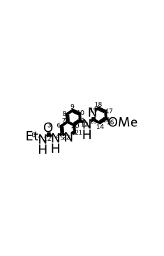 CCNC(=O)Nc1cc2cccc(Nc3cc(OC)ccn3)c2cn1